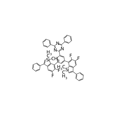 C[Si]1(C)C=C(c2ccccc2)c2cc(F)c(F)c(-c3cc(-c4nc(-c5ccccc5)nc(-c5ccccc5)n4)cc(-c4c(F)c(F)cc5c4[Si](C)(C)C=C5c4ccccc4)c3)c21